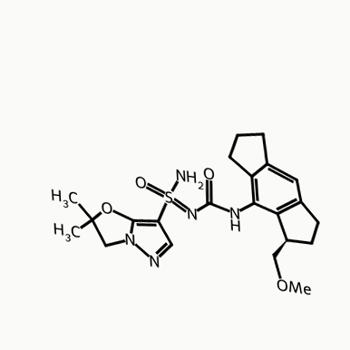 COC[C@@H]1CCc2cc3c(c(NC(=O)N=S(N)(=O)c4cnn5c4OC(C)(C)C5)c21)CCC3